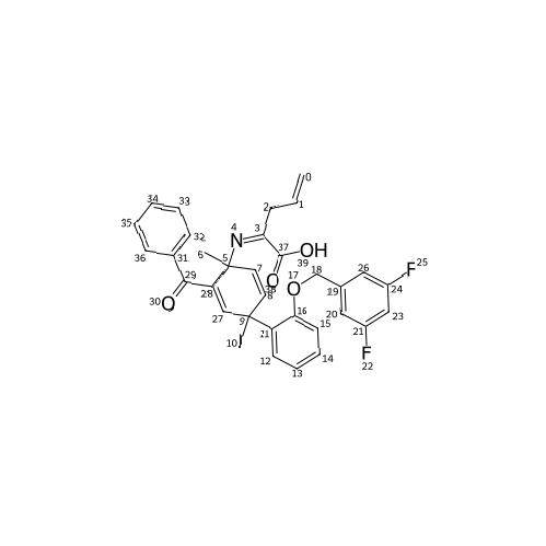 C=CCC(=NC1(C)C=CC(I)(c2ccccc2OCc2cc(F)cc(F)c2)C=C1C(=O)c1ccccc1)C(=O)O